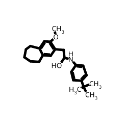 COc1cc2c(cc1CC(O)Nc1ccc(C(C)(C)C)cc1)CCCCC2